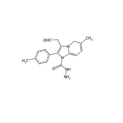 CC1=CC=C2N(C1)C(C[C]=O)=C(c1ccc(C)cc1)N2C(=O)NN